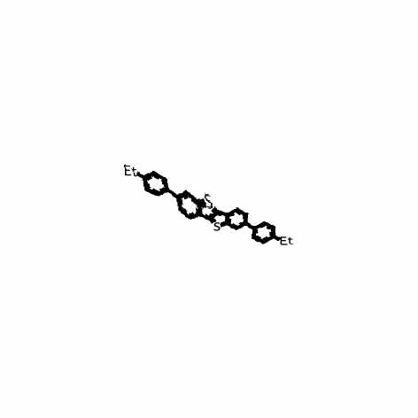 CCc1ccc(-c2ccc3c(c2)sc2c4ccc(-c5ccc(CC)cc5)cc4sc32)cc1